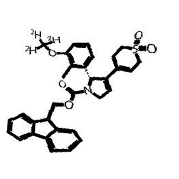 [2H]C([2H])([2H])Oc1cccc([C@@H]2C(C3=CCS(=O)(=O)CC3)=CCN2C(=O)OCC2c3ccccc3-c3ccccc32)c1C